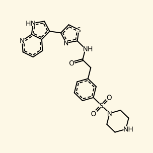 O=C(Cc1cccc(S(=O)(=O)N2CCNCC2)c1)Nc1nc(-c2c[nH]c3ncccc23)cs1